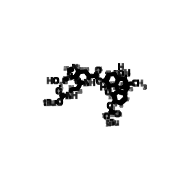 CN1CC[C@]23c4c5ccc(OC(=O)OC(C)(C)C)c4O[C@H]2C(OC(=O)C(Cc2cn(C(=O)O)cn2)NC(=O)CCNC(=O)OC(C)(C)C)=CC[C@@]3(O)[C@H]1C5